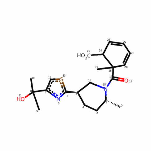 C[C@@H]1CC[C@@H](c2nc(C(C)(C)O)cs2)CN1C(=O)C1(C)C=CC=CC1C(=O)O